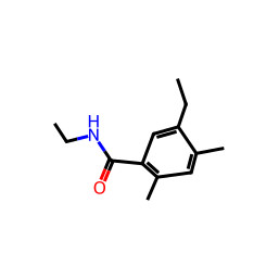 CCNC(=O)c1cc(CC)c(C)cc1C